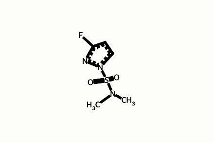 CN(C)S(=O)(=O)n1ccc(F)n1